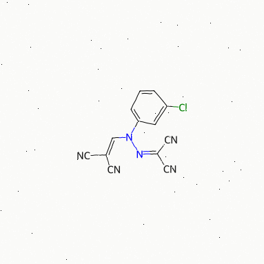 N#CC(C#N)=CN(N=C(C#N)C#N)c1cccc(Cl)c1